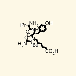 CC[C@H](C)[C@@H](C(N)=O)N(CCCCCC(=O)O)C(=O)[C@H](Cc1ccc(O)cc1)NC(=O)[C@@H](N)C(C)C